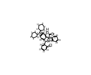 C1CCC(NC2CCCCC2)CC1.O=C(O)C(NCc1ccccc1Cl)(c1ccccc1)c1ccccc1